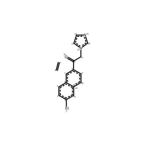 C=C.CCc1ccc2cc(C(=O)Cn3ccnc3)ccc2c1